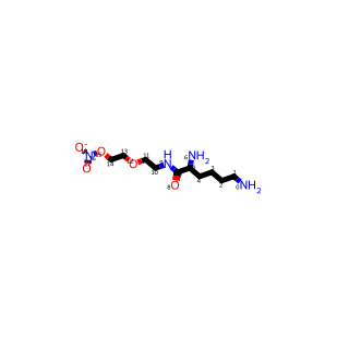 NCCCCC(N)C(=O)NCCOCCO[N+](=O)[O-]